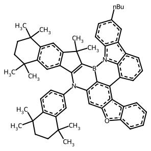 CCCCc1ccc2c(c1)c1cccc3c1n2B1C2=C(c4cc5c(cc4C2(C)C)C(C)(C)CCC5(C)C)N(c2ccc4c(c2)C(C)(C)CCC4(C)C)c2cc4oc5ccccc5c4c-3c21